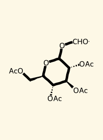 CC(=O)OC[C@H]1OC(O[C]=O)[C@H](OC(C)=O)[C@@H](OC(C)=O)[C@@H]1OC(C)=O